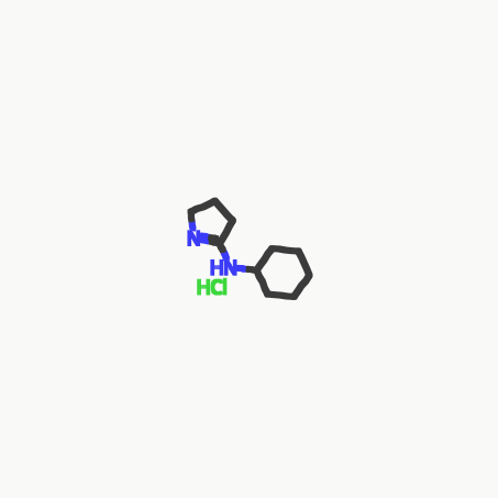 C1CCC(NC2=NCCC2)CC1.Cl